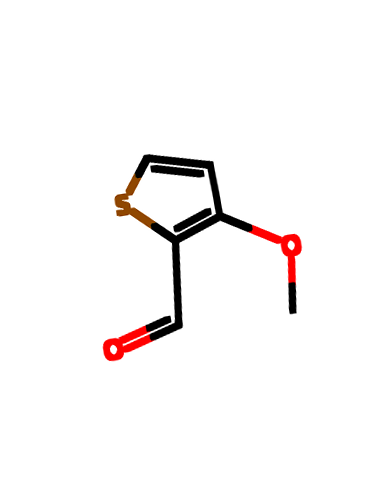 COc1ccsc1C=O